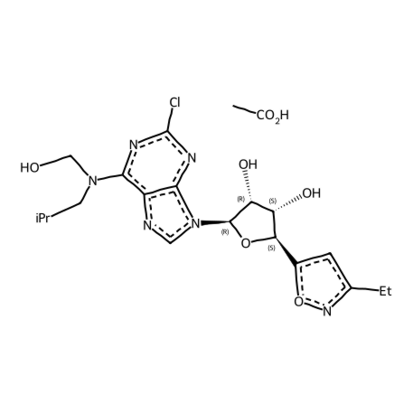 CC(=O)O.CCc1cc([C@H]2O[C@@H](n3cnc4c(N(CO)CC(C)C)nc(Cl)nc43)[C@H](O)[C@@H]2O)on1